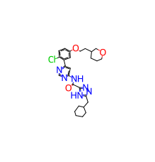 O=C(Nc1cc(-c2cc(OCCC3CCCOC3)ccc2Cl)ncn1)c1nnc(CC2CCCCC2)[nH]1